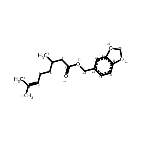 CC(C)=CCCC(C)CC(=O)OCc1ccc2c(c1)OCO2